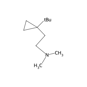 CN(C)CCC1(C(C)(C)C)CC1